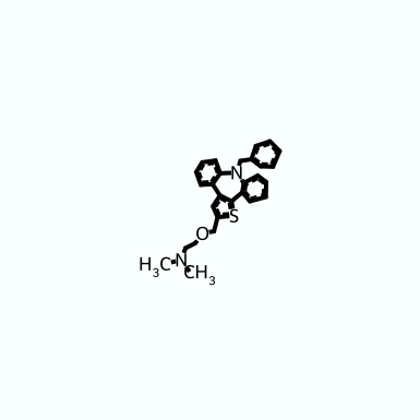 CN(C)CCOCc1cc2c(s1)-c1ccccc1N(Cc1ccccc1)c1ccccc1-2